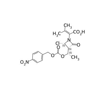 CC(C)=C(C(=O)O)N1C(=O)[C@H]([C@H](C)OC(=O)OCc2ccc([N+](=O)[O-])cc2)[C@@H]1Cl